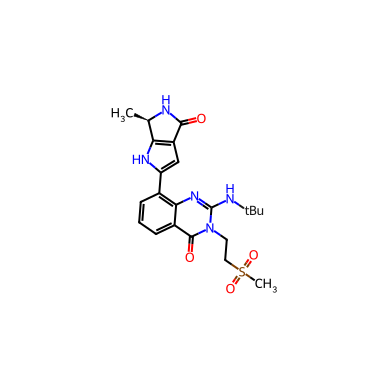 C[C@H]1NC(=O)c2cc(-c3cccc4c(=O)n(CCS(C)(=O)=O)c(NC(C)(C)C)nc34)[nH]c21